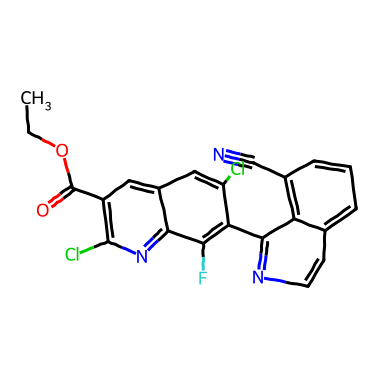 CCOC(=O)c1cc2cc(Cl)c(-c3nccc4cccc(C#N)c34)c(F)c2nc1Cl